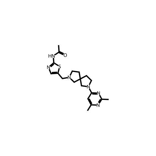 CC(=O)Nc1ncc(CN2CCC3(CCN(c4cc(C)nc(C)n4)C3)C2)s1